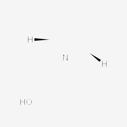 CN1[C@@H]2CC[C@H]1CC(CO)C2